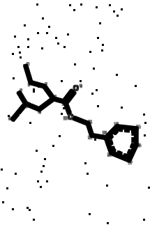 CCCC(CC(C)C)C(=O)OCCc1ccccc1